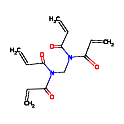 C=CC(=O)N(CN(C(=O)C=C)C(=O)C=C)C(=O)C=C